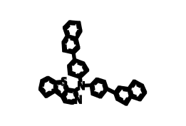 c1ccc2cc(-c3ccc(N(c4ccc(-c5ccc6ccccc6c5)cc4)c4nccc5c4sc4ccccc45)cc3)ccc2c1